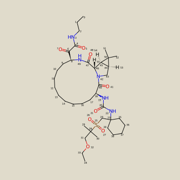 CCCNC(=O)C(=O)[C@@H]1CCCCCCCCC[C@H](NC(=O)NC2(CS(=O)(=O)C(C)(C)COCC)CCCCC2)C(=O)N2C[C@H]3[C@@H]([C@H]2C(=O)N1)C3(C)C